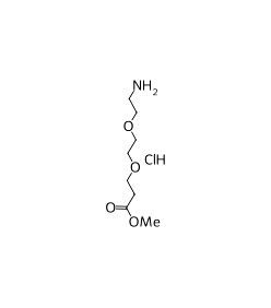 COC(=O)CCOCCOCCN.Cl